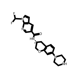 O=C(N[C@H]1COc2cc(N3CCNCC3)ccc2C1)c1cnc2c(ccn2C(F)F)c1